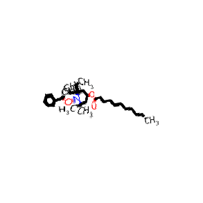 CCCCCCCCCCC(=O)OC1CC(C)(C)N(OC(C)c2ccccc2)C(CC)(CC)C1